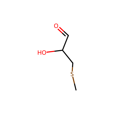 CSCC(O)C=O